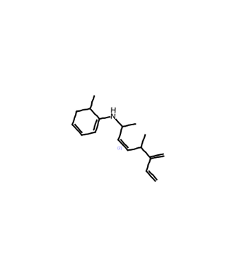 C=CC(=C)C(C)/C=C\C(C)NC1=CC=CCC1C